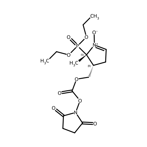 CCOP(=O)(OCC)[C@@]1(C)[C@@H](COC(=O)ON2C(=O)CCC2=O)CC=[N+]1[O-]